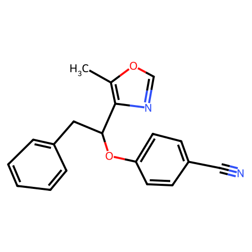 Cc1ocnc1C(Cc1ccccc1)Oc1ccc(C#N)cc1